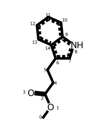 COC(=O)[CH]Cc1c[nH]c2ccccc12